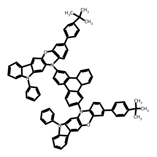 CC(C)(C)c1ccc(-c2ccc3c(c2)Oc2cc4c5ccccc5n(-c5ccccc5)c4cc2N3c2ccc3c(c2)C2C=CC=CC2c2cc(N4c5ccc(-c6ccc(C(C)(C)C)cc6)cc5Oc5cc6c7ccccc7n(-c7ccccc7)c6cc54)ccc2-3)cc1